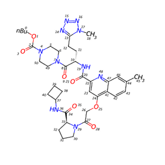 CCCCOC(=O)N1CCN(C(=O)[C@H](CCc2nnnn2C)NC(=O)c2cc(OCC(=O)N3CCC[C@H]3C(=O)NC3CCC3)c3ccc(C)cc3n2)CC1